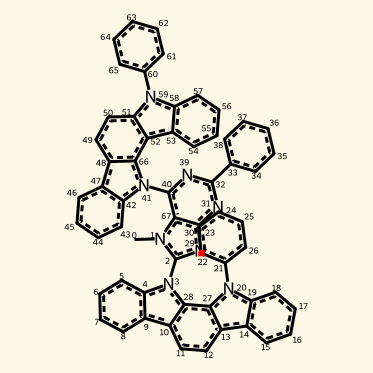 Cn1c(-n2c3ccccc3c3ccc4c5ccccc5n(-c5ccccc5)c4c32)nc2nc(-c3ccccc3)nc(-n3c4ccccc4c4ccc5c(c6ccccc6n5-c5ccccc5)c43)c21